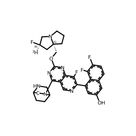 [2H][C@]1(F)CN2CCC[C@@]2(COc2nc(N3CC4CCC3CN4)c3cnc(-c4cc(O)cc5ccc(F)c(F)c45)c(F)c3n2)C1